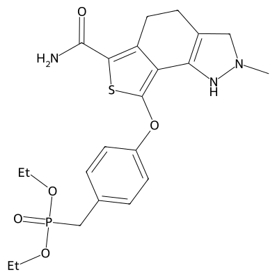 CCOP(=O)(Cc1ccc(Oc2sc(C(N)=O)c3c2C2=C(CC3)CN(C)N2)cc1)OCC